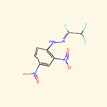 O=[N+]([O-])c1ccc(NN=C(F)C(F)F)c([N+](=O)[O-])c1